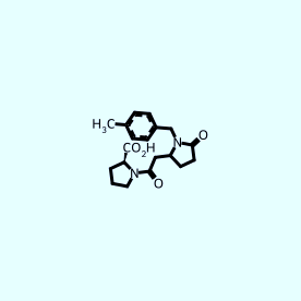 Cc1ccc(CN2C(=O)CCC2CC(=O)N2CCC[C@H]2C(=O)O)cc1